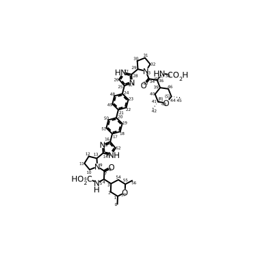 CC1CC(C(NC(=O)O)C(=O)N2CCCC2c2nc(-c3ccc(-c4ccc(-c5c[nH]c(C6CCCN6C(=O)[C@@H](NC(=O)O)C6C[C@@H](C)O[C@@H](C)C6)n5)cc4)cc3)c[nH]2)CC(C)O1